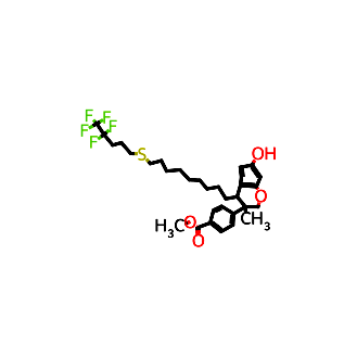 COC(=O)c1ccc(C2(C)COc3cc(O)ccc3C2CCCCCCCCCSCCCC(F)(F)C(F)(F)F)cc1